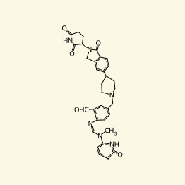 CN(/C=N\c1ccc(CN2CCC(c3ccc4c(c3)CN(C3CCC(=O)NC3=O)C4=O)CC2)cc1C=O)c1cccc(=O)[nH]1